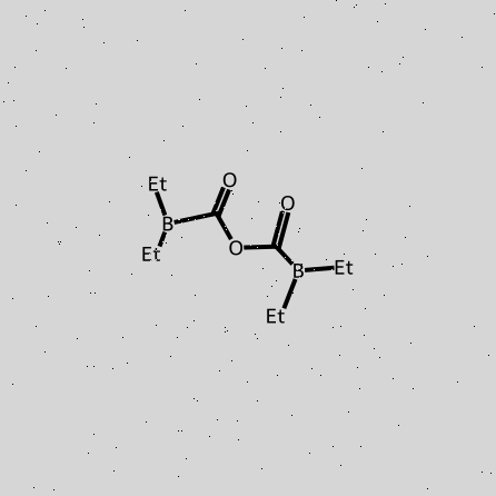 CCB(CC)C(=O)OC(=O)B(CC)CC